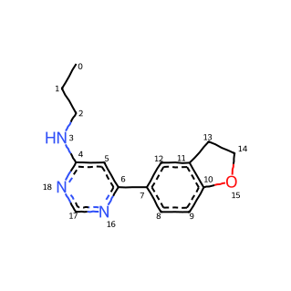 CCCNc1cc(-c2ccc3c(c2)CCO3)ncn1